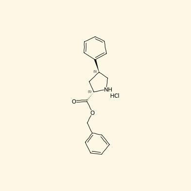 Cl.O=C(OCc1ccccc1)[C@@H]1C[C@@H](c2ccccc2)CN1